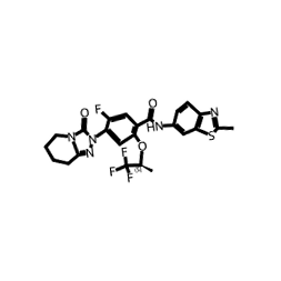 Cc1nc2ccc(NC(=O)c3cc(F)c(-n4nc5n(c4=O)CCCC5)cc3O[C@@H](C)C(F)(F)F)cc2s1